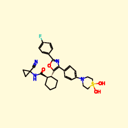 N#CC1(NC(=O)[C@@H]2CCCC[C@H]2c2oc(-c3ccc(F)cc3)nc2-c2ccc(N3CCS(O)(O)CC3)cc2)CC1